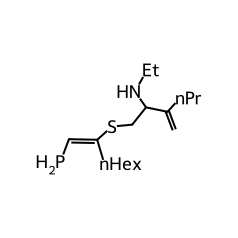 C=C(CCC)C(CS/C(=C/P)CCCCCC)NCC